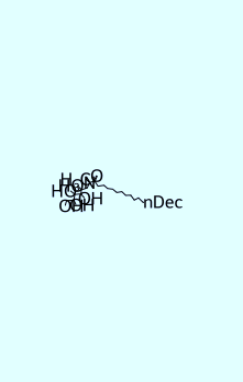 CCCCCCCCCCCCCCCCCCCCCC(=O)N(C)CC(O)C(O)C(O)C(O)CO